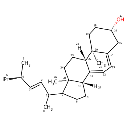 CC(/C=C/[C@H](C)C(C)C)C1CC[C@H]2C3=CC=C4C[C@@H](O)CC[C@]4(C)[C@H]3CC[C@]12C